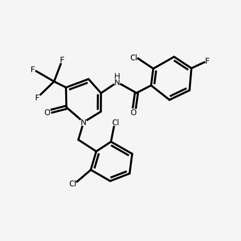 O=C(Nc1cc(C(F)(F)F)c(=O)n(Cc2c(Cl)cccc2Cl)c1)c1ccc(F)cc1Cl